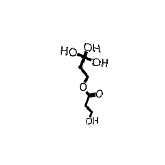 O=C(CCO)OCCC(O)(O)O